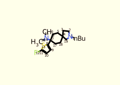 CCCCN1CCC2(CCC(c3ccc(F)s3)(N(C)C)CC2)C1